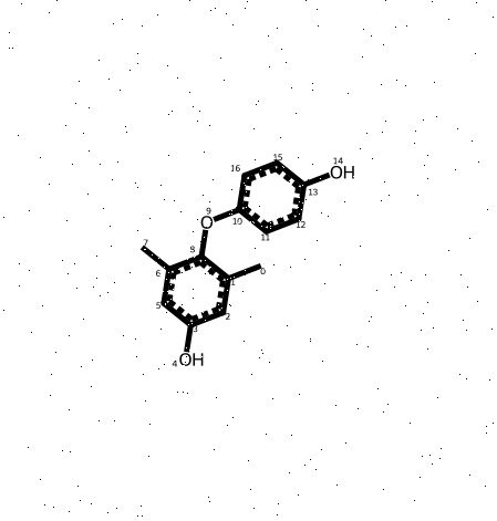 Cc1cc(O)cc(C)c1Oc1ccc(O)cc1